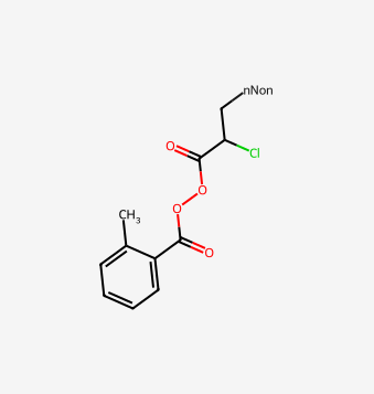 CCCCCCCCCCC(Cl)C(=O)OOC(=O)c1ccccc1C